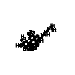 CCN(CC)CCCNCCC(=O)N[C@@H]1c2cc3c(cc2C(c2cc(C)c(O)c(OC)c2)[C@H]2C(=O)OC[C@H]12)OCO3